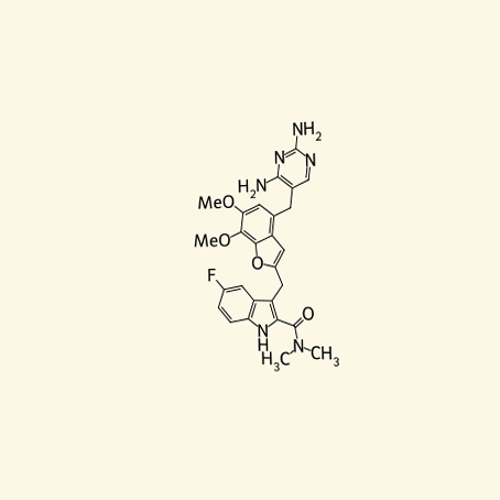 COc1cc(Cc2cnc(N)nc2N)c2cc(Cc3c(C(=O)N(C)C)[nH]c4ccc(F)cc34)oc2c1OC